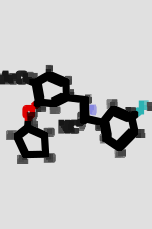 COc1ccc(/C=C(\C#N)c2cccc(F)c2)cc1OC1CCCC1